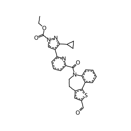 CCOC(=O)n1cc(-c2cccc(C(=O)N3CCc4cc(C=O)sc4-c4ccccc43)n2)c(C2CC2)n1